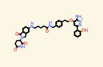 Nc1nnc(-c2ccccc2O)cc1OCCc1ccc(CNC(=O)CCCCNc2ccc3c(c2)CN(C2CCC(=O)NC2=O)C3=O)cc1